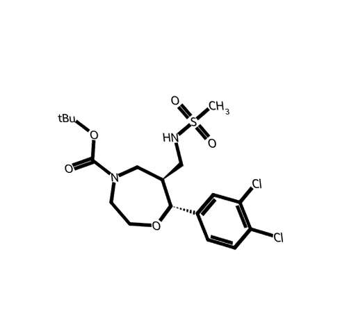 CC(C)(C)OC(=O)N1CCO[C@@H](c2ccc(Cl)c(Cl)c2)[C@H](CNS(C)(=O)=O)C1